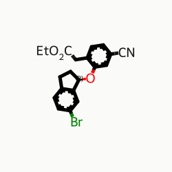 CCOC(=O)Cc1ccc(C#N)cc1O[C@@H]1CCc2ccc(Br)cc21